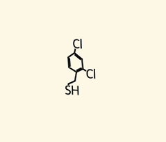 SCCc1ccc(Cl)cc1Cl